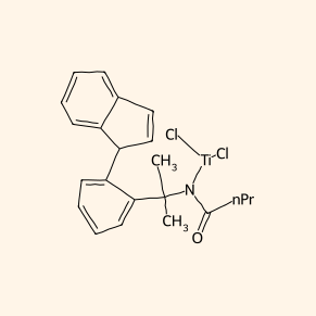 CCCC(=O)[N]([Ti]([Cl])[Cl])C(C)(C)c1ccccc1C1C=Cc2ccccc21